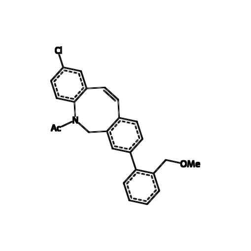 COCc1ccccc1-c1ccc2c(c1)CN(C(C)=O)c1ccc(Cl)cc1/C=C\2